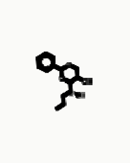 CCC[C@@H](O)C1OC(c2ccccc2)OCC1O